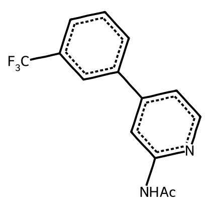 CC(=O)Nc1cc(-c2cccc(C(F)(F)F)c2)ccn1